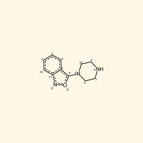 c1ccc2c(N3CCNCC3)onc2c1